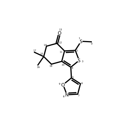 CSc1sc(-c2ccno2)c2c1C(=O)CC(C)(C)C2